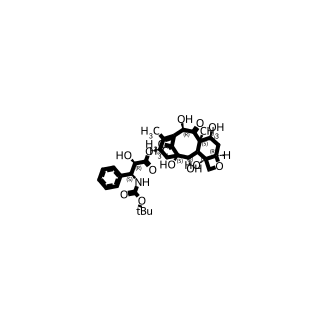 CC1=C2[C@@H](O)C(=O)[C@@]3(C)C([C@H](O)[C@](O)(C[C@@H]1OC(=O)[C@H](O)[C@@H](NC(=O)OC(C)(C)C)c1ccccc1)C2(C)C)[C@]1(O)CO[C@@H]1C[C@@H]3O